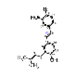 CC(C)=CCc1cc(/C=C/c2ccc(Br)c(O)c2)ccc1O